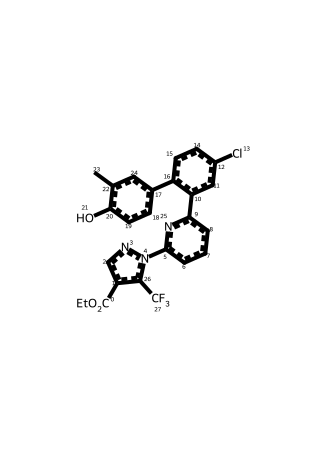 CCOC(=O)c1cnn(-c2cccc(-c3cc(Cl)ccc3-c3ccc(O)c(C)c3)n2)c1C(F)(F)F